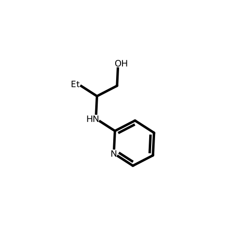 CCC(CO)Nc1ccccn1